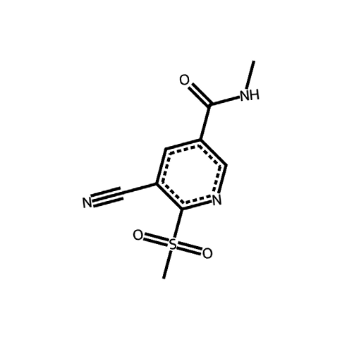 CNC(=O)c1cnc(S(C)(=O)=O)c(C#N)c1